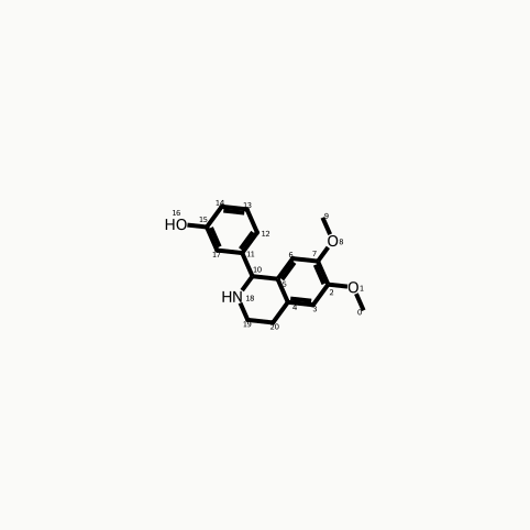 COc1cc2c(cc1OC)C(c1cccc(O)c1)NCC2